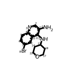 Nc1cnc2ccc(Br)cc2c1NC1CCOCC1